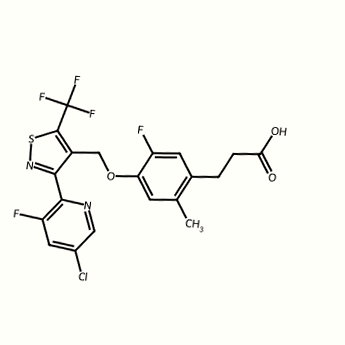 Cc1cc(OCc2c(-c3ncc(Cl)cc3F)nsc2C(F)(F)F)c(F)cc1CCC(=O)O